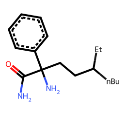 CCCCC(CC)CCC(N)(C(N)=O)c1ccccc1